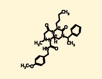 CCCC[C@H]1C(=O)N(C(C)c2ccccc2)C[C@H]2N1C(=O)CN(C)N2C(=O)NCc1ccc(OC)cc1